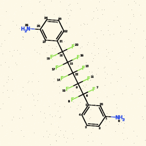 Nc1cccc(C(F)(F)C(F)(F)C(F)(F)C(F)(F)C(F)(F)c2cccc(N)c2)c1